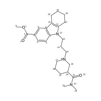 COC(=O)c1ccc2c(c1)c1c(n2CCCN2CCCC(C(=O)N(C)C)C2)CCCC1